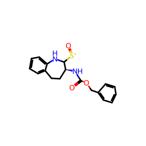 O=[S+]C1Nc2ccccc2CC[C@@H]1NC(=O)OCc1ccccc1